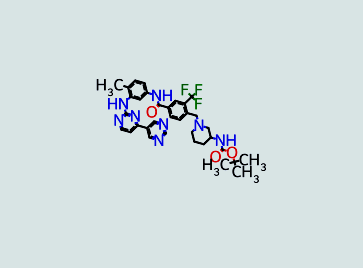 Cc1ccc(NC(=O)c2ccc(CN3CCCC(NC(=O)OC(C)(C)C)C3)c(C(F)(F)F)c2)cc1Nc1nccc(-c2cncnc2)n1